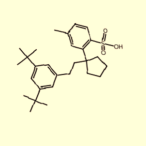 Cc1ccc(S(=O)(=O)O)c(C2(CCc3cc(C(C)(C)C)cc(C(C)(C)C)c3)CCCC2)c1